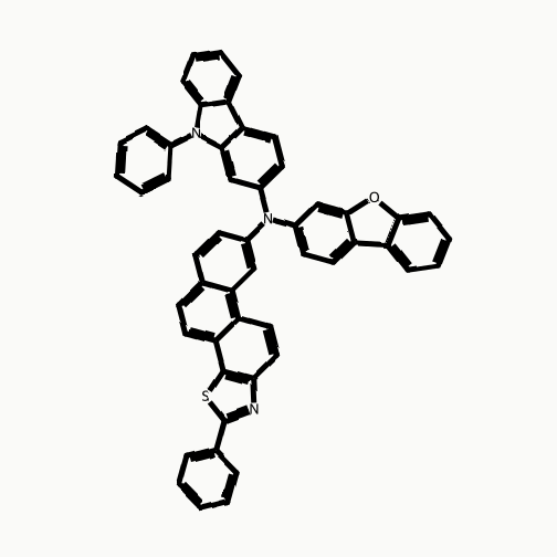 c1ccc(-c2nc3ccc4c5cc(N(c6ccc7c(c6)oc6ccccc67)c6ccc7c8ccccc8n(-c8ccccc8)c7c6)ccc5ccc4c3s2)cc1